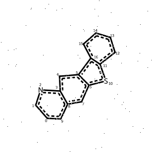 c1cnc2cc3c(cc2c1)sc1ccccc13